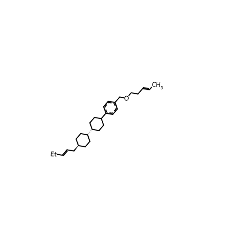 CC=CCCOCc1ccc(C2CCC([C@H]3CC[C@H](C/C=C/CC)CC3)CC2)cc1